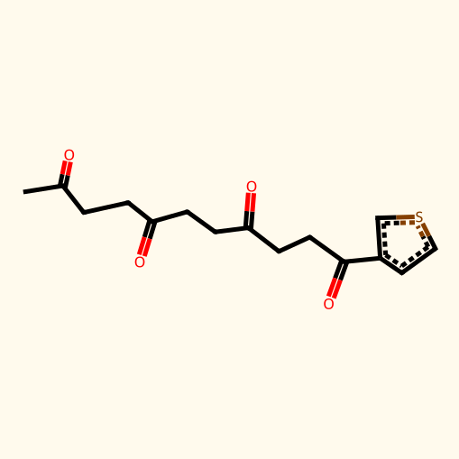 CC(=O)CCC(=O)CCC(=O)CCC(=O)c1ccsc1